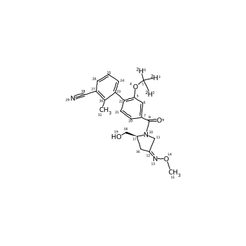 [2H]C([2H])([2H])Oc1cc(C(=O)N2C/C(=N\OC)C[C@H]2CO)ccc1-c1cccc(C#N)c1C